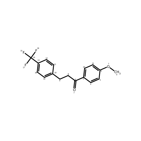 COc1ccc(C(=O)CCc2ccc(C(F)(F)F)cc2)cc1